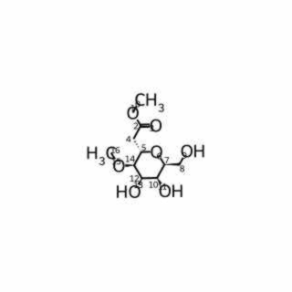 COC(=O)C[C@@H]1O[C@@H](CO)[C@@H](O)[C@@H](O)[C@H]1OC